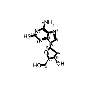 Nc1nc(S)nc2c1ncn2[C@H]1C[C@@H](O)[C@@H](CO)O1